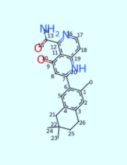 Cc1cc2c(cc1-c1cc(=O)c3c(C(N)=O)nccc3[nH]1)CC(C)(C)CC2